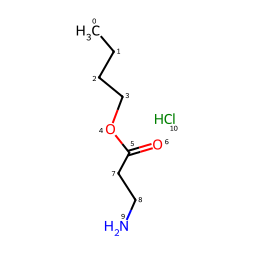 CCCCOC(=O)CCN.Cl